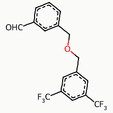 O=Cc1cccc(COCc2cc(C(F)(F)F)cc(C(F)(F)F)c2)c1